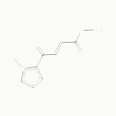 Cn1cccc1C(=O)/C=C/C(=O)OC(C)(C)C